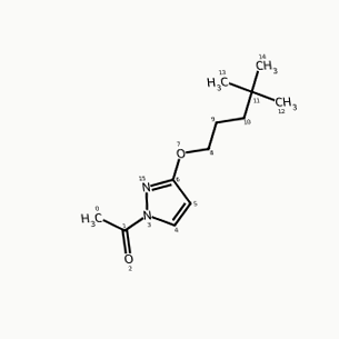 CC(=O)n1ccc(OCCCC(C)(C)C)n1